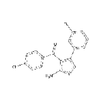 Nc1scc(-c2cccc(Cl)c2)c1C(=O)c1ccc(Cl)cc1